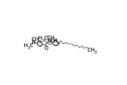 CCCCCCCCCCCCc1ccc(CC(CC)(C(=O)c2ccc(N(C)C)cc2)N(C)C)cc1